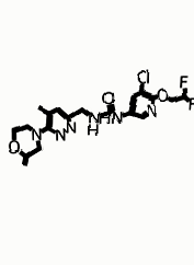 Cc1cc(CNC(=O)Nc2cnc(OCC(F)F)c(Cl)c2)nnc1N1CCOC(C)C1